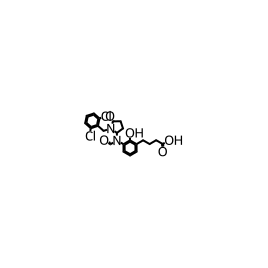 O=CN(c1cccc(CCCC(=O)O)c1O)C1CCC(=O)N1Cc1c(Cl)cccc1Cl